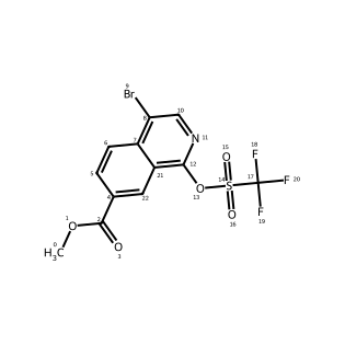 COC(=O)c1ccc2c(Br)cnc(OS(=O)(=O)C(F)(F)F)c2c1